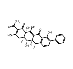 C[C@H]1c2ccc(-c3ccccc3)c(O)c2C(=O)C2=C(O)[C@]3(O)C(=O)C(C(N)=O)=C(O)C[C@@H]3[C@@H](O)[C@@H]21